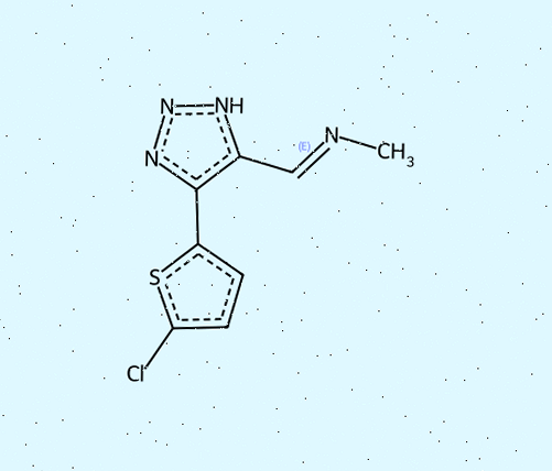 C/N=C/c1[nH]nnc1-c1ccc(Cl)s1